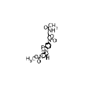 COC(=O)N1C[C@@H]2CN(c3ccc(N4CC(CNC(C)=O)OC4=O)cc3F)[C@@H]2C1